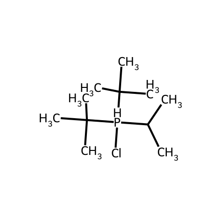 CC(C)[PH](Cl)(C(C)(C)C)C(C)(C)C